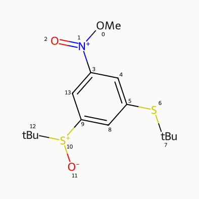 CO[N+](=O)c1cc(SC(C)(C)C)cc([S+]([O-])C(C)(C)C)c1